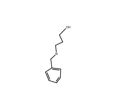 OCCC[N]Cc1ccccc1